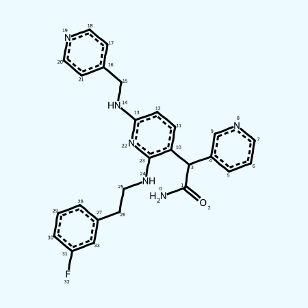 NC(=O)C(c1cccnc1)c1ccc(NCc2ccncc2)nc1NCCc1cccc(F)c1